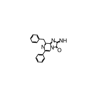 N=C1N=C2C(Cc3ccccc3)=NC(c3ccccc3)=CN2C1=O